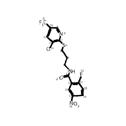 O=C(NCCCSc1ncc(C(F)(F)F)cc1Cl)c1cc([N+](=O)[O-])ccc1F